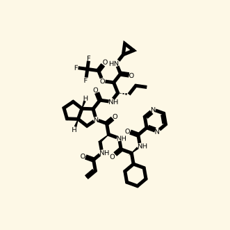 C=CC(=O)NC[C@H](NC(=O)[C@@H](NC(=O)c1cnccn1)C1CCCCC1)C(=O)N1C[C@@H]2CCC[C@@H]2C1C(=O)N[C@@H](CCC)C(OC(=O)C(F)(F)F)C(=O)NC1CC1